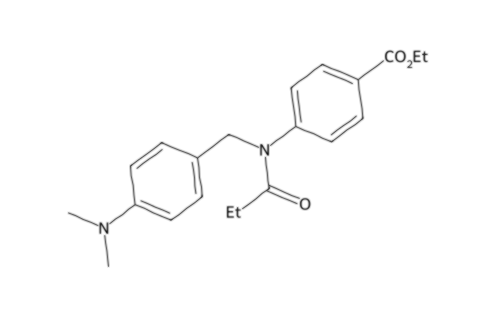 CCOC(=O)c1ccc(N(Cc2ccc(N(C)C)cc2)C(=O)CC)cc1